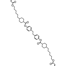 C=CC(=O)OCCCCCCC1CCC(C(=O)Oc2ccc(CCc3ccc(OC(=O)C4CCC(CCCCCCOC(=O)C=C)CC4)cc3)cc2)CC1